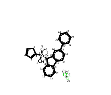 C.[CH3][Zr+2]([CH3])([C]1=CC=CC1)[CH]1c2ccccc2-c2ccc(-c3ccccc3)cc21.[Cl-].[Cl-]